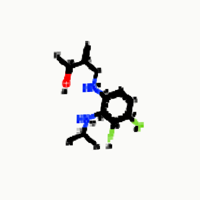 C=C(CNc1ccc(F)c(F)c1NC(C)C)C(C)=O